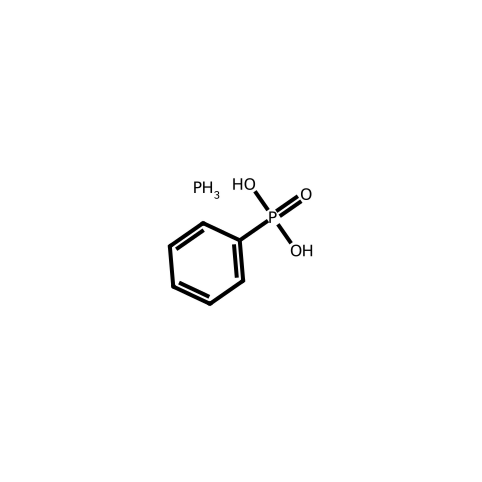 O=P(O)(O)c1ccccc1.P